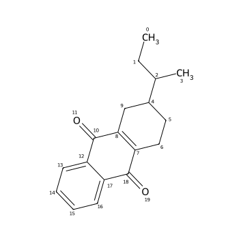 CCC(C)C1CCC2=C(C1)C(=O)c1ccccc1C2=O